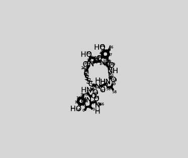 CCC(C)[C@H](NC(=O)[C@H](Cc1ccc(O)cc1)NC(=O)[C@@H]1CSSC[C@H](C)C(=O)N2C[C@H](O)C[C@H]2C(=O)N[C@@H](Cc2ccc(O)c(I)c2)C(=O)NCC(=O)N[C@@H](CC(C)C)C(=O)N1)C(=O)NC